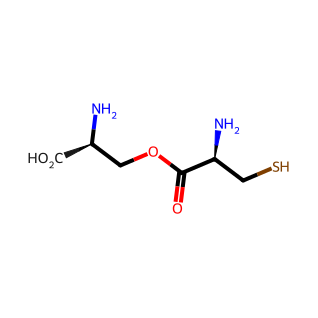 N[C@@H](COC(=O)[C@@H](N)CS)C(=O)O